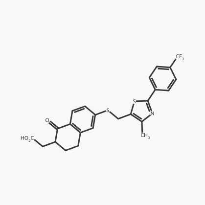 Cc1nc(-c2ccc(C(F)(F)F)cc2)sc1CSc1ccc2c(c1)CCC(CC(=O)O)C2=O